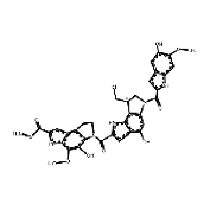 COc1cc2[nH]c(C(=O)N3C[C@H](CCl)c4c3cc(O)c3cc(C(=O)N5CCc6c5c(O)c(OC)c5[nH]c(C(=O)SC)cc65)[nH]c43)cc2cc1O